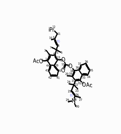 CC(=O)Oc1c(C)c(C(C)(C)/C=C(\C)CC(C)C)c(OC(=O)Oc2c(C)c(C(C)(C)/C=C(\C)N(C)C)c(OC(C)=O)c3ccccc23)c2ccccc12